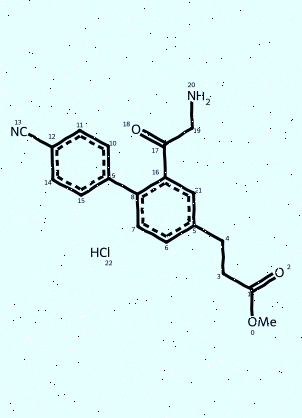 COC(=O)CCc1ccc(-c2ccc(C#N)cc2)c(C(=O)CN)c1.Cl